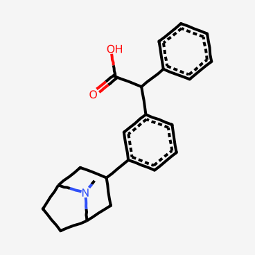 CN1C2CCC1CC(c1cccc(C(C(=O)O)c3ccccc3)c1)C2